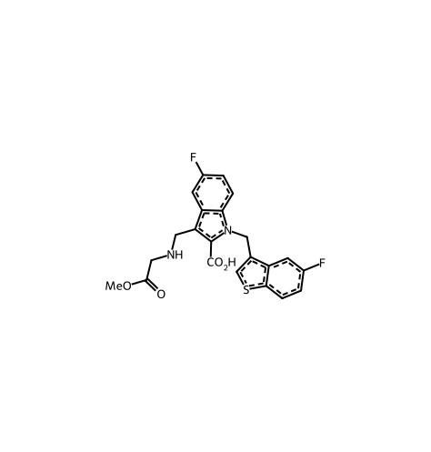 COC(=O)CNCc1c(C(=O)O)n(Cc2csc3ccc(F)cc23)c2ccc(F)cc12